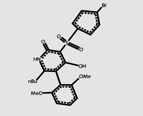 CCCCc1[nH]c(=O)c(S(=O)(=O)c2ccc(Br)cc2)c(O)c1-c1c(OC)cccc1OC